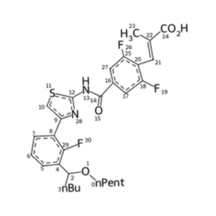 CCCCCOC(CCCC)c1cccc(-c2csc(NC(=O)c3cc(F)c(C=C(C)C(=O)O)c(F)c3)n2)c1F